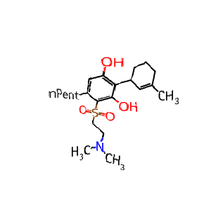 CCCCCc1cc(O)c(C2C=C(C)CCC2)c(O)c1S(=O)(=O)CCN(C)C